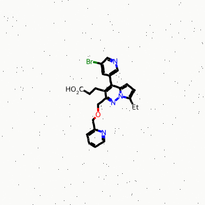 CCc1ccc2c(-c3cncc(Br)c3)c(CCC(=O)O)c(COCc3ccccn3)nn12